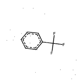 FC(F)(F)c1[c]cc[c]c1